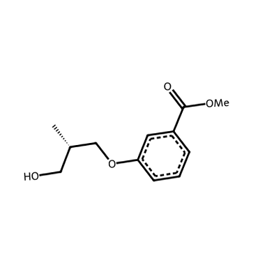 COC(=O)c1cccc(OC[C@@H](C)CO)c1